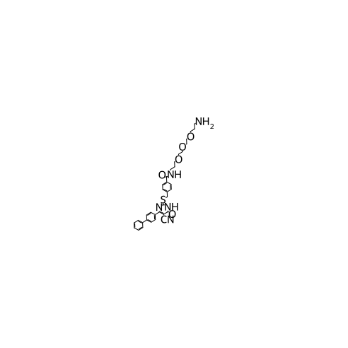 N#Cc1c(-c2ccc(-c3ccccc3)cc2)nc(SCc2ccc(C(=O)NCCCOCCOCCOCCCN)cc2)[nH]c1=O